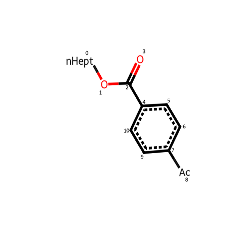 CCCCCCCOC(=O)c1ccc(C(C)=O)cc1